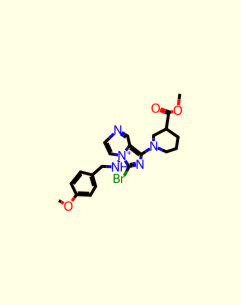 COC(=O)C1CCCN(C2=C3C=NC=C[N+]3(NCc3ccc(OC)cc3)C(Br)=N2)C1